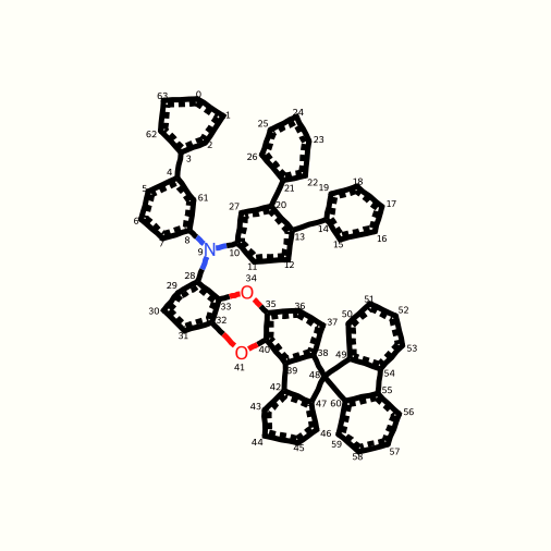 c1ccc(-c2cccc(N(c3ccc(-c4ccccc4)c(-c4ccccc4)c3)c3cccc4c3Oc3ccc5c(c3O4)-c3ccccc3C53c4ccccc4-c4ccccc43)c2)cc1